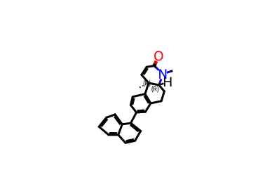 CN1C(=O)C=C[C@]2(C)c3ccc(-c4cccc5ccccc45)cc3CC[C@@H]12